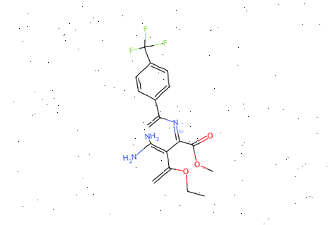 C=C(OCC)C(=C(N)N)/C(=N\C(=C)c1ccc(C(F)(F)F)cc1)C(=O)OC